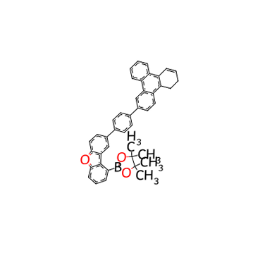 CC1(C)OB(c2cccc3oc4ccc(-c5ccc(-c6ccc7c8c(c9ccccc9c7c6)C=CCC8)cc5)cc4c23)OC1(C)C